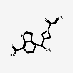 C=CC(=O)N1CC(C(C)c2ccc(C(N)=O)c3[nH]ccc23)C1